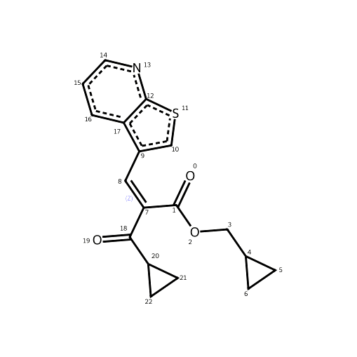 O=C(OCC1CC1)/C(=C\c1csc2ncccc12)C(=O)C1CC1